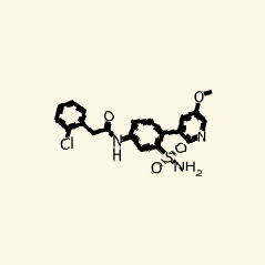 COc1cncc(-c2ccc(NC(=O)Cc3ccccc3Cl)cc2S(N)(=O)=O)c1